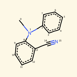 CN(c1ccccc1)c1ccccc1C#N